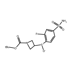 CC(C)(C)OC(=O)N1CC([S+]([O-])c2ccc(S(N)(=O)=O)cc2F)C1